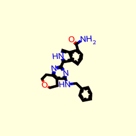 NC(=O)c1cccc2c(-c3nc4c(c(NCc5ccccc5)n3)CCOCC4)[nH]cc12